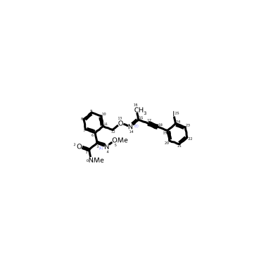 CNC(=O)/C(=N/OC)c1ccccc1CO/N=C(\C)C#Cc1ccccc1I